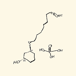 CCCCCCCCCCCCCCCCS[C@H]1CCC[C@H](O)C1.O=P(O)(O)O